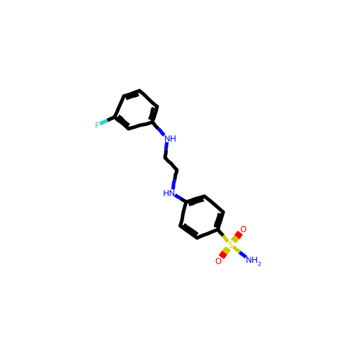 NS(=O)(=O)c1ccc(NCCNc2cccc(F)c2)cc1